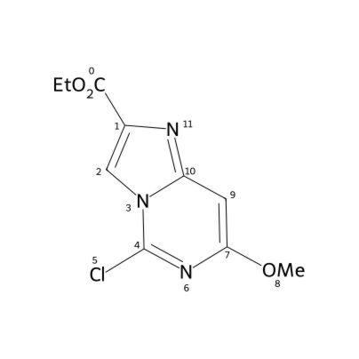 CCOC(=O)c1cn2c(Cl)nc(OC)cc2n1